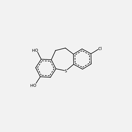 Oc1cc(O)c2c(c1)Sc1ccc(Cl)cc1CC2